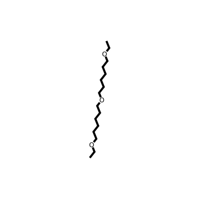 CCOCCCCCCOCCCCCCOCC